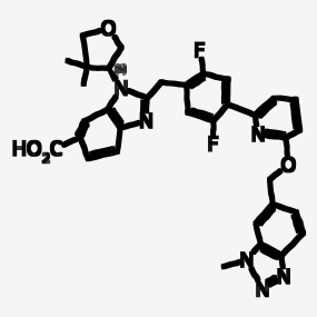 Cn1nnc2ccc(COc3cccc(-c4cc(F)c(Cc5nc6ccc(C(=O)O)cc6n5[C@@H]5COCC5(C)C)cc4F)n3)cc21